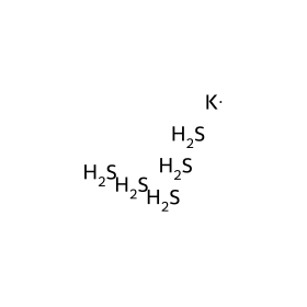 S.S.S.S.S.[K]